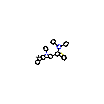 CC1(C)c2ccccc2-c2cc3c4ccc(-c5cc(-c6nc(-c7ccccc7)nc(-c7ccccc7)n6)c6sc7ccccc7c6c5)cc4n(-c4ccccc4)c3cc21